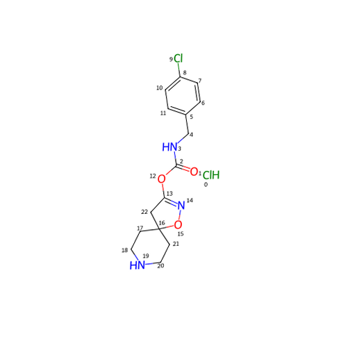 Cl.O=C(NCc1ccc(Cl)cc1)OC1=NOC2(CCNCC2)C1